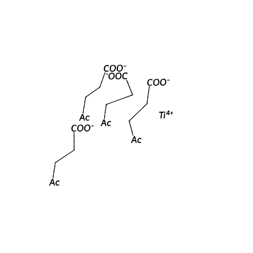 CC(=O)CCC(=O)[O-].CC(=O)CCC(=O)[O-].CC(=O)CCC(=O)[O-].CC(=O)CCC(=O)[O-].[Ti+4]